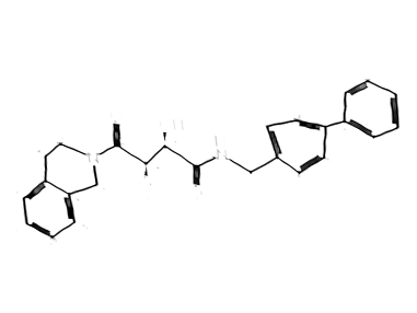 O=C(NCc1ccc(-c2ccccc2)cc1)[C@H](O)[C@@H](O)C(=O)N1CCc2ccccc2C1